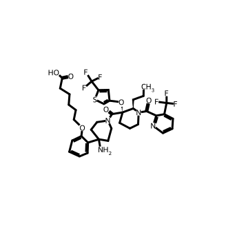 CCC[C@H]1N(C(=O)c2ncccc2C(F)(F)F)CCC[C@@]1(Oc1csc(C(F)(F)F)c1)C(=O)N1CCC(N)(c2ccccc2OCCCCCC(=O)O)CC1